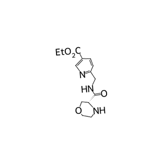 CCOC(=O)c1ccc(CNC(=O)[C@H]2COCCN2)nc1